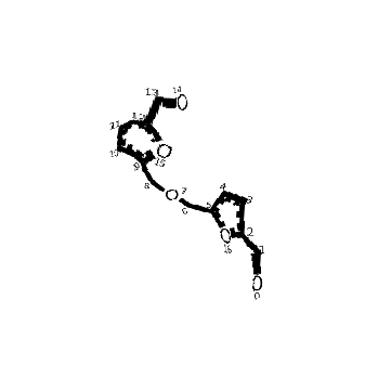 O=Cc1ccc(COCc2ccc(C=O)o2)o1